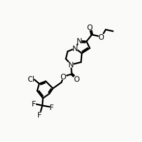 CCOC(=O)c1cc2n(n1)CCN(C(=O)OCc1cc(Cl)cc(C(F)(F)F)c1)C2